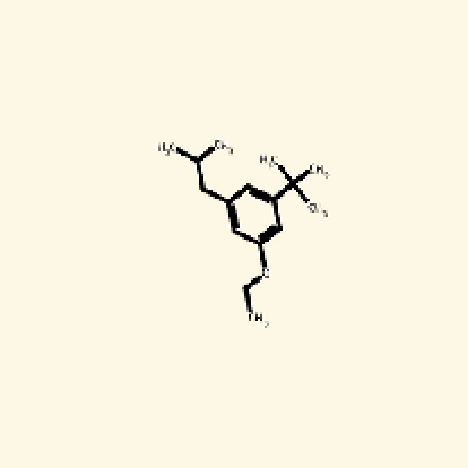 CCOc1cc(CC(C)C)cc(C(C)(C)C)c1